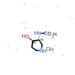 Cl.O=C(O)N[C@@H]1CNCC[C@H]1O